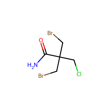 NC(=O)C(CCl)(CBr)CBr